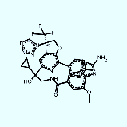 COc1cc(C(=O)NCC(O)(c2cc3c(c(-c4ccc(F)cc4)n2)OC[C@@]3(n2cnnn2)C(F)(F)F)C2CC2)cc2sc(N)nc12